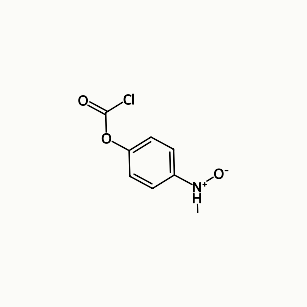 C[NH+]([O-])c1ccc(OC(=O)Cl)cc1